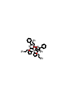 CC(C)CCOc1nc(-c2ccccc2)nc(OCCC(C)C)[c]1[Ti]([C]1=CC=CC1)([C]1=CC=CC1)[c]1c(OCCC(C)C)nc(-c2ccccc2)nc1OCCC(C)C